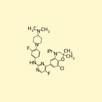 CC(C)N1CC(C)(C)Oc2c(Cl)cc(-c3nc(Nc4ccc(N5CCC(N(C)C)CC5)c(F)c4)ncc3F)cc21